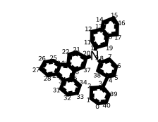 c1ccc(-c2cccc(N(c3ccc4ccccc4c3)c3ccc4c5ccccc5c5ccccc5c4c3)c2)cc1